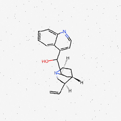 C=C[C@H]1C[N@]2CC[C@H]1C[C@@H]2C(O)c1ccnc2ccccc12